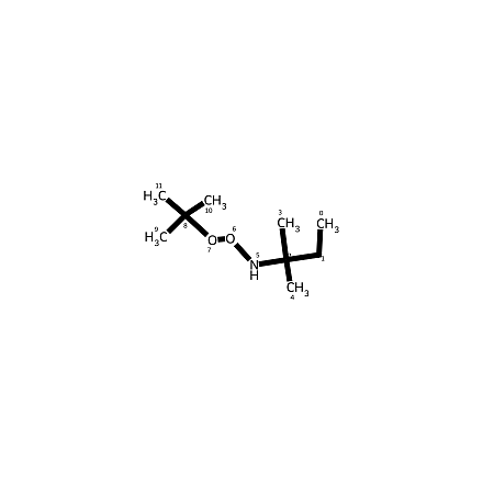 CCC(C)(C)NOOC(C)(C)C